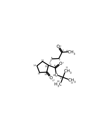 CC(=O)CC[C@@]1(C(=O)OC(C)(C)C)CCCC1=O